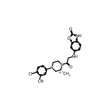 C[C@@H]1CN(c2ccc(Cl)c(C#N)c2)CCN1C(=O)CNc1ccc2[nH]c(=O)oc2c1